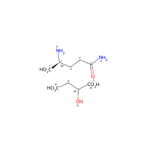 NC(=O)CC[C@H](N)C(=O)O.O=C(O)CC(O)C(=O)O